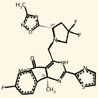 COC(=O)C1=C(CN2CC(F)(F)C[C@H]2c2nc(C)no2)NC(c2nccs2)=N[C@@]1(C)c1ccc(F)cc1